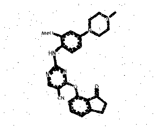 COc1cc(N2CCN(C)CC2)ccc1Nc1ncc(C#N)c(Oc2cccc3c2C(=O)CC3)n1